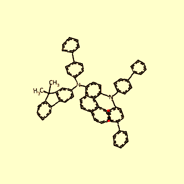 CC1(C)c2ccccc2-c2ccc(N(c3ccc(-c4ccccc4)cc3)c3ccc(N(c4ccc(-c5ccccc5)cc4)c4ccc(-c5ccccc5)cc4)c4c3ccc3ccccc34)cc21